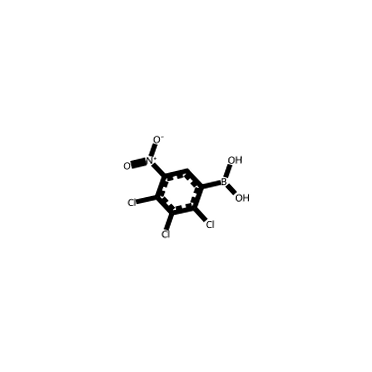 O=[N+]([O-])c1cc(B(O)O)c(Cl)c(Cl)c1Cl